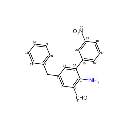 Nc1c(C=O)cc(Cc2ccccc2)cc1-c1cccc([N+](=O)[O-])c1